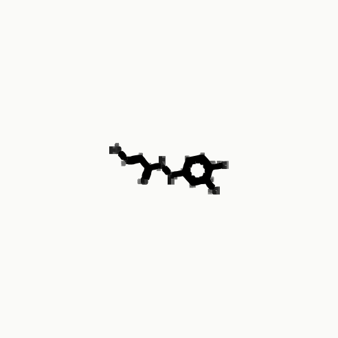 O=C(C=NO)NNc1ccc(Cl)c(Cl)c1